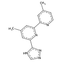 Cc1ccnc(-c2cc(C)cc(-c3nnc[nH]3)n2)c1